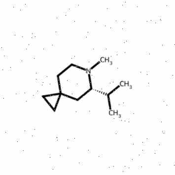 CC(C)[C@@H]1CC2(CCN1C)CC2